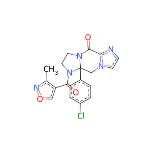 Cc1nocc1C(=O)N1CCN2C(=O)c3nccn3CC12c1ccc(Cl)cc1